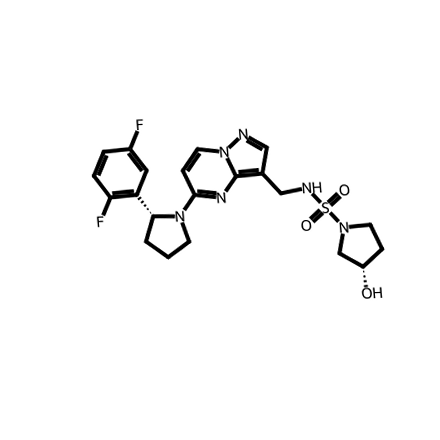 O=S(=O)(NCc1cnn2ccc(N3CCC[C@@H]3c3cc(F)ccc3F)nc12)N1CC[C@H](O)C1